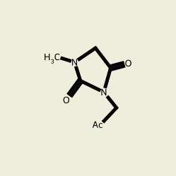 CC(=O)CN1C(=O)CN(C)C1=O